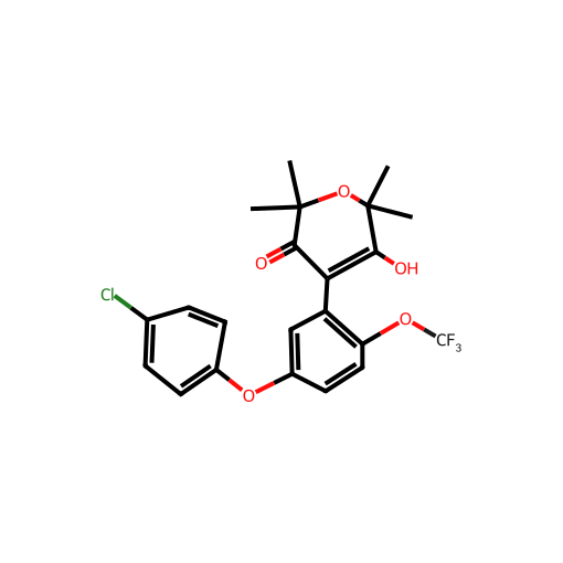 CC1(C)OC(C)(C)C(O)=C(c2cc(Oc3ccc(Cl)cc3)ccc2OC(F)(F)F)C1=O